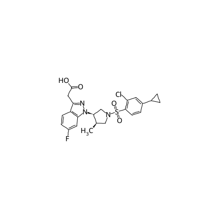 C[C@@H]1CN(S(=O)(=O)c2ccc(C3CC3)cc2Cl)C[C@@H]1n1nc(CC(=O)O)c2ccc(F)cc21